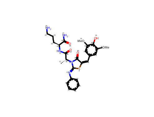 COc1cc(C=C2SC(=Nc3ccccc3)N([C@H](C)C(=O)N[C@@H](CCCN)C(N)=O)C2=O)cc(OC)c1O